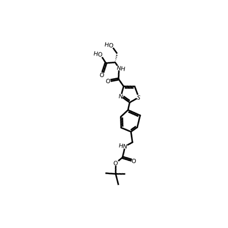 CC(C)(C)OC(=O)NCc1ccc(-c2nc(C(=O)N[C@@H](CO)C(=O)O)cs2)cc1